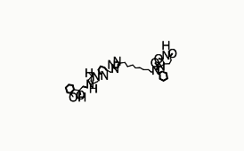 O=C1CCC(n2c(=O)n(CCCCCCCCc3cn(Cc4cccc(N5C[C@H]6C[C@@H]5CN6/C=C/C(=O)c5ccccc5O)n4)nn3)c3ccccc32)C(=O)N1